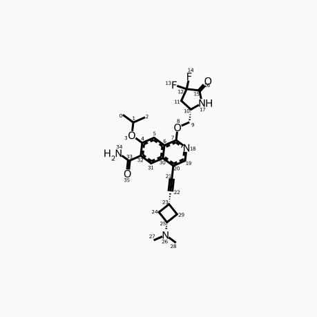 CC(C)Oc1cc2c(OC[C@@H]3CC(F)(F)C(=O)N3)ncc(C#C[C@H]3C[C@@H](N(C)C)C3)c2cc1C(N)=O